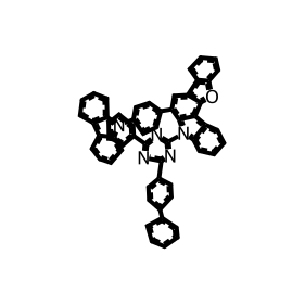 c1ccc(-c2ccc(-c3nc(-c4ccccc4)nc(-n4c5ccccc5c5c6oc7ccccc7c6cc(-c6ccc(-n7c8ccccc8c8ccccc87)cc6)c54)n3)cc2)cc1